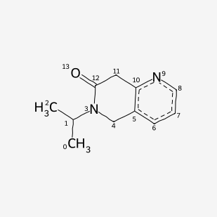 CC(C)N1Cc2cccnc2CC1=O